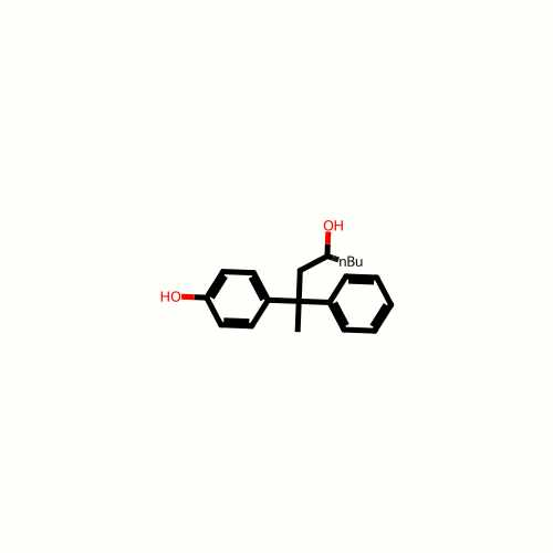 CCCCC(O)CC(C)(c1ccccc1)c1ccc(O)cc1